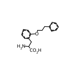 NC(Cc1ccccc1OCCCc1ccccc1)C(=O)O